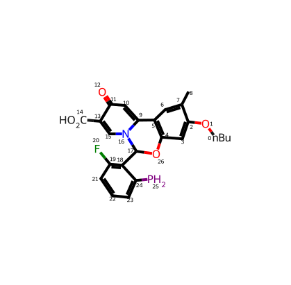 CCCCOc1cc2c(cc1C)-c1cc(=O)c(C(=O)O)cn1C(c1c(F)cccc1P)O2